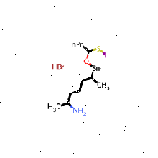 Br.CCCC([O][Sn][CH](C)CCCC(C)N)SI